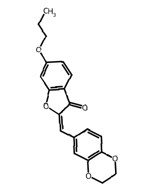 CCCOc1ccc2c(c1)OC(=Cc1ccc3c(c1)OCCO3)C2=O